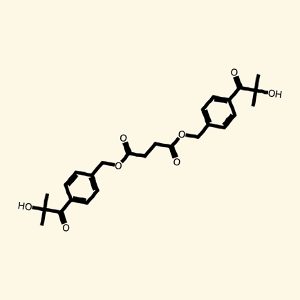 CC(C)(O)C(=O)c1ccc(COC(=O)CCC(=O)OCc2ccc(C(=O)C(C)(C)O)cc2)cc1